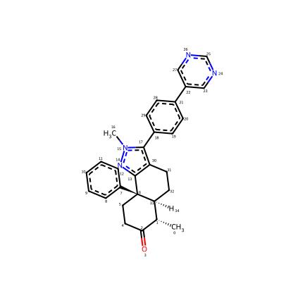 C[C@@H]1C(=O)CC[C@]2(c3ccccc3)c3nn(C)c(-c4ccc(-c5cncnc5)cc4)c3CC[C@@H]12